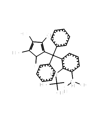 CC1=C(C)C(C)C(C(c2ccccc2)(c2ccccc2)c2cccc([SiH](C)C)c2NC(C)(C)C)=C1C